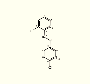 Fc1cccnc1NCc1ccc(Cl)nc1